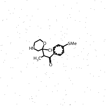 CSc1ccc(C(=O)C(C)C2(C)CNCCO2)cc1